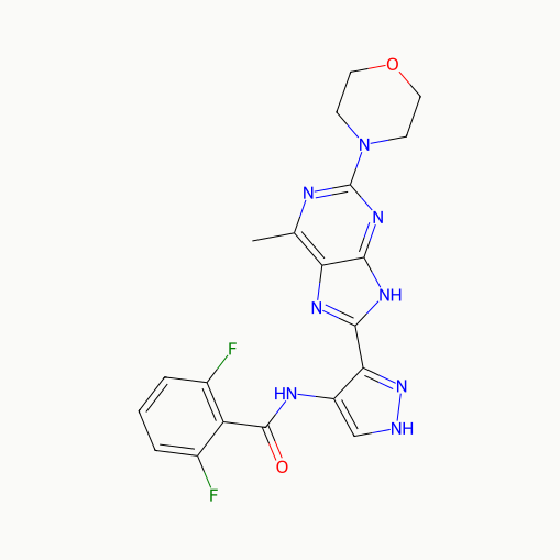 Cc1nc(N2CCOCC2)nc2[nH]c(-c3n[nH]cc3NC(=O)c3c(F)cccc3F)nc12